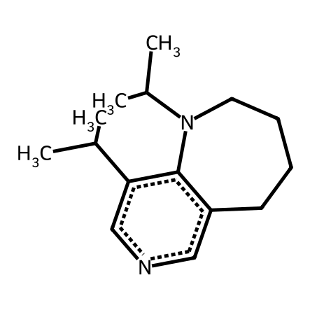 CC(C)c1cncc2c1N(C(C)C)CCCC2